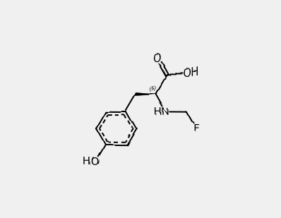 O=C(O)[C@H](Cc1ccc(O)cc1)NCF